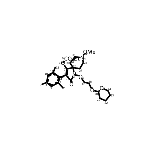 CCOC(=O)OC1=C(c2c(C)cc(C)cc2C)C(=O)N(OCCOC2CCCCO2)C12CCN(OC)CC2